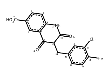 O=C(O)c1ccc2c(c1)C(=O)C(Cc1ccc(F)c(Cl)c1)C(=O)N2